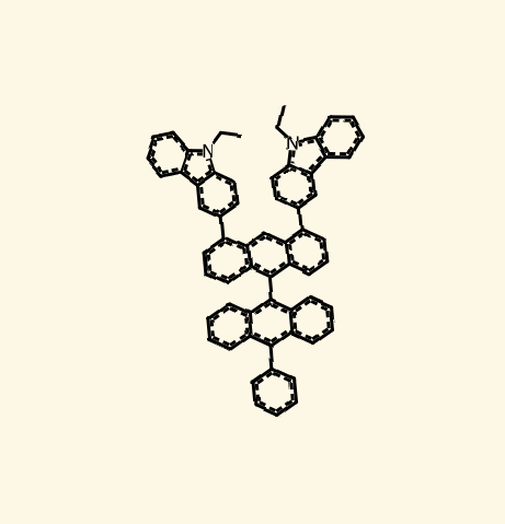 CCn1c2ccccc2c2cc(-c3cccc4c(-c5c6ccccc6c(-c6ccccc6)c6ccccc56)c5cccc(-c6ccc7c(c6)c6ccccc6n7CC)c5cc34)ccc21